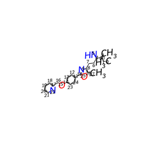 CC[C@@H](C)C(=N)CCc1nc(-c2ccc(OCc3ccccn3)cc2)oc1C